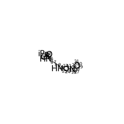 CC(C)S(=O)(=O)NCCCCCNc1ccc(N2CCc3ccccc32)cc1